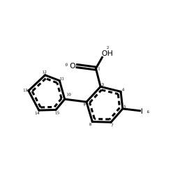 O=C(O)c1cc(I)ccc1-c1ccccc1